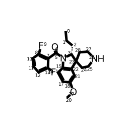 CCC[C@H]1N(C(=O)c2c(F)cccc2F)c2ccc(OC)cc2C12CCNCC2